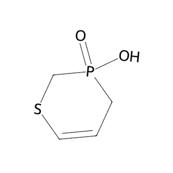 O=P1(O)CC=CSC1